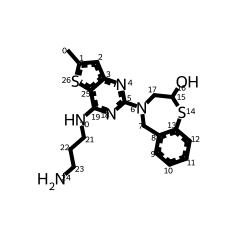 Cc1cc2nc(N3Cc4ccccc4SC(O)C3)nc(NCCCN)c2s1